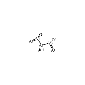 [KH].[O]=[V](=[O])[O][V](=[O])=[O]